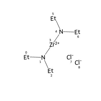 CC[N](CC)[Zr+2][N](CC)CC.[Cl-].[Cl-]